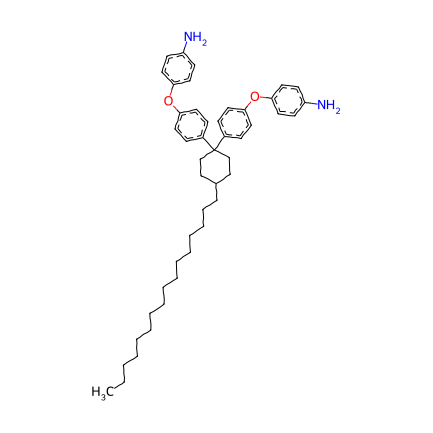 CCCCCCCCCCCCCCCCC1CCC(c2ccc(Oc3ccc(N)cc3)cc2)(c2ccc(Oc3ccc(N)cc3)cc2)CC1